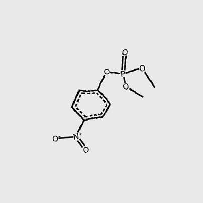 COP(=O)(OC)Oc1ccc([N+](=O)[O-])cc1